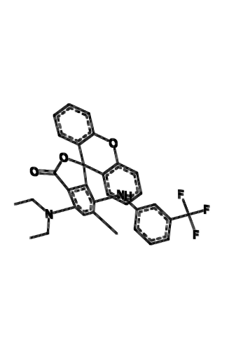 CCN(CC)c1cc(C)c(Nc2cccc(C(F)(F)F)c2)c2c1C(=O)OC21c2ccccc2Oc2ccccc21